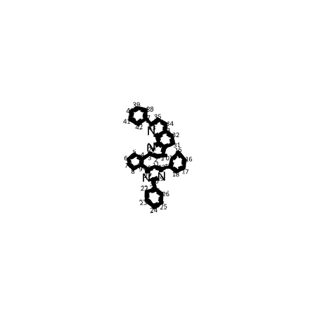 Cc1cc(-c2ccccc2-c2cc(-c3ccccc3)nc(-c3ccccc3)n2)nc2c1ccc1ccc(-c3ccccc3)nc12